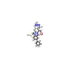 CCSNC1CCC(/C(C)=N\N(C)C)=C(C=O)C1Cc1cccc(-c2ccccc2)c1